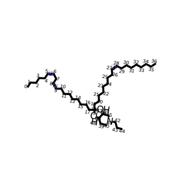 CCCCC/C=C\C/C=C\CCCCCCCCC1(CCCCCCCC/C=C\CCCCCCCC)O[C@H]2CCN(CCC)C[C@@H]2O1